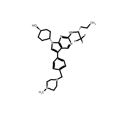 CCC[C@@H](Nc1ncc2c(-c3ccc(CN4CCN(C)CC4)cc3)cn([C@H]3CC[C@H](O)CC3)c2n1)C(F)(F)F